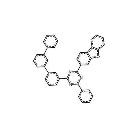 c1ccc(-c2cccc(-c3cccc(-c4nc(-c5ccccc5)nc(-c5ccc6c(c5)oc5ccccc56)n4)c3)c2)cc1